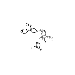 [C-]#[N+]c1cc(Nc2cc(NCc3cc(F)cc(F)c3)c(C(N)=O)cn2)ccc1N1CCOCC1